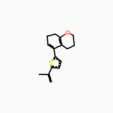 C=C(C)c1ccc(C2=CCCC3=C2CCCO3)s1